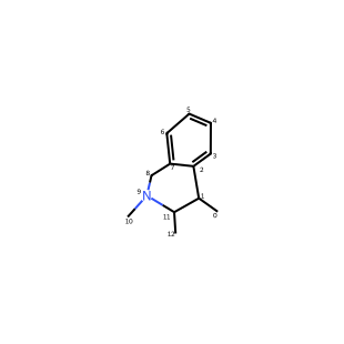 CC1c2ccccc2CN(C)C1C